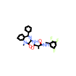 CC(C(=O)NCc1cc(F)cc(F)c1F)C(=O)NC1N=C(c2ccccc2)c2ccccc2N(C)C1=O